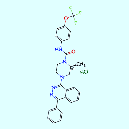 C[C@H]1CN(c2nnc(-c3ccccc3)c3ccccc23)CCN1C(=O)Nc1ccc(OC(F)(F)F)cc1.Cl